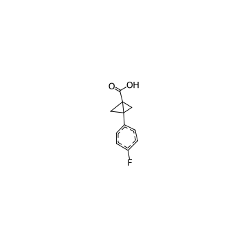 O=C(O)C12CC1(c1ccc(F)cc1)C2